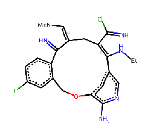 CCN/C1=C(\C(=N)Cl)C/C(=C/NC)C(=N)c2ccc(F)cc2COc2cc1cnc2N